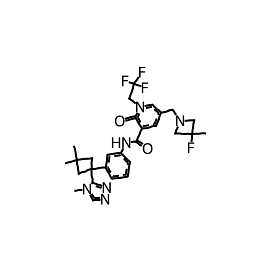 Cn1cnnc1C1(c2cccc(NC(=O)c3cc(CN4CC(C)(F)C4)cn(CC(F)(F)F)c3=O)c2)CC(C)(C)C1